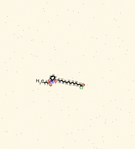 CCCCS(=O)(=O)Nc1ccccc1OCCCCCCCCCCCCCC(=O)Cl